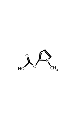 Cn1cccc1OC(=O)O